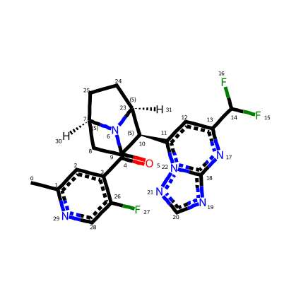 Cc1cc(C(=O)N2[C@H]3CC[C@H](c4cc(C(F)F)nc5ncnn45)[C@@H]2CC3)c(F)cn1